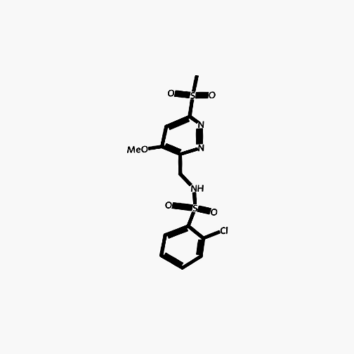 COc1cc(S(C)(=O)=O)nnc1CNS(=O)(=O)c1ccccc1Cl